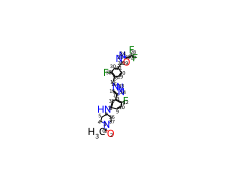 CC(=O)N1CCC(Nc2ccc(F)c(-c3cn(Cc4ccc(-c5nnc(C(F)F)o5)cc4F)nn3)c2)CC1